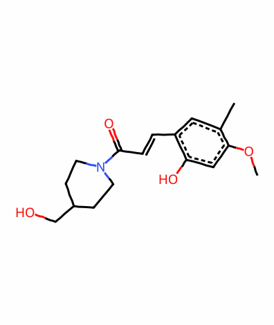 COc1cc(O)c(/C=C/C(=O)N2CCC(CO)CC2)cc1C